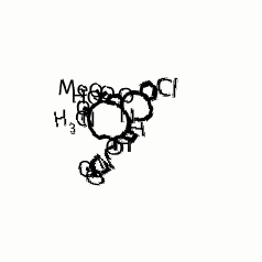 COC(=O)[C@@]1(O)CC(=O)N(C)CC/C=C/[C@H](OCCN2CCS(=O)(=O)CC2)[C@@H]2CC[C@H]2CN2CCCCc3cc(Cl)ccc3COc3ccc1cc32